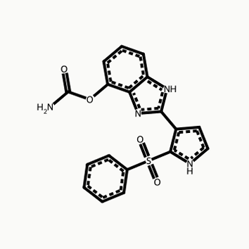 NC(=O)Oc1cccc2[nH]c(-c3cc[nH]c3S(=O)(=O)c3ccccc3)nc12